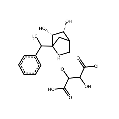 CC(c1ccccc1)C12CC(CN1)[C@@H](O)[C@H]2O.O=C(O)C(O)C(O)C(=O)O